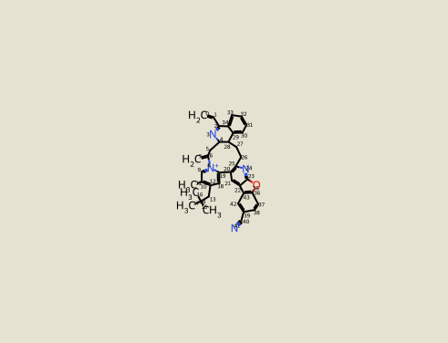 C=CC1=NC2CC(=C)[n+]3cc(C)c(CC(C)(C)C)cc3-c3cc4c(nc3CCC2c2ccccc21)oc1ccc(C#N)cc14